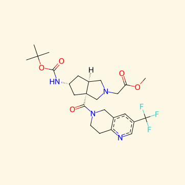 COC(=O)CN1C[C@@H]2C[C@@H](NC(=O)OC(C)(C)C)C[C@]2(C(=O)N2CCc3ncc(C(F)(F)F)cc3C2)C1